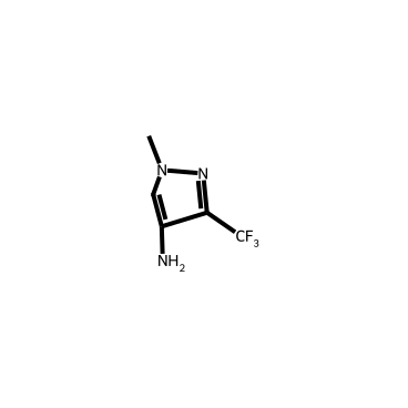 Cn1cc(N)c(C(F)(F)F)n1